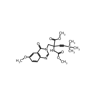 COC(=O)NC(C#C[Si](C)(C)C)(Cn1cnc2ccc(OC)cc2c1=O)C(=O)OC